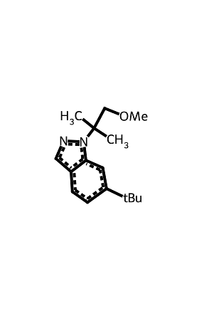 COCC(C)(C)n1ncc2ccc(C(C)(C)C)cc21